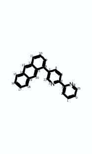 c1ccc(-c2ccc(-c3cccc4cc5ccccc5cc34)cn2)nc1